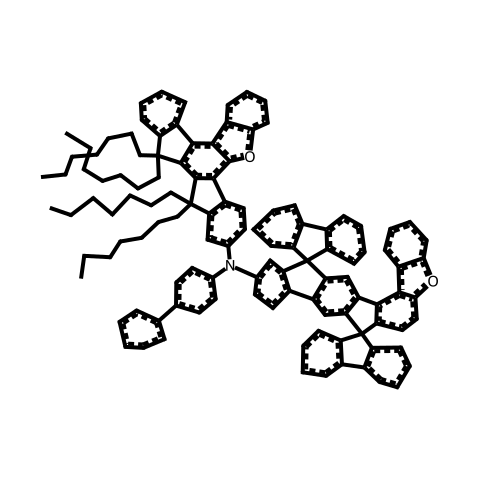 CCCCCCCC1(CCCCCCC)c2cc(N(c3ccc(-c4ccccc4)cc3)c3ccc4c(c3)C3(c5ccccc5-c5ccccc53)c3cc5c(cc3-4)C3(c4ccccc4-c4ccccc43)c3ccc4oc6ccccc6c4c3-5)ccc2-c2c1c1c(c3c2oc2ccccc23)-c2ccccc2C1(CCCCCCC)CCCCCCC